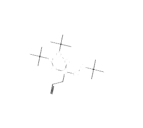 C=CC[Si](OOC(C)(C)C)(OOC(C)(C)C)OOC(C)(C)C